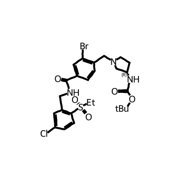 CCS(=O)(=O)c1ccc(Cl)cc1CNC(=O)c1ccc(CN2CC[C@@H](NC(=O)OC(C)(C)C)C2)c(Br)c1